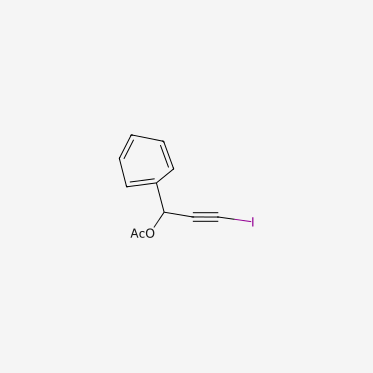 CC(=O)OC(C#CI)c1ccccc1